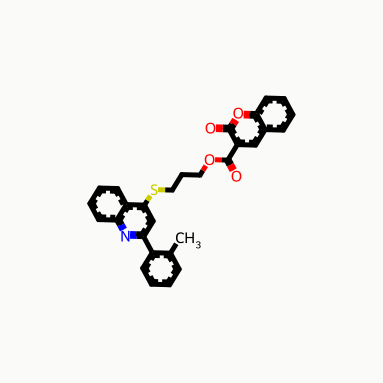 Cc1ccccc1-c1cc(SCCCOC(=O)c2cc3ccccc3oc2=O)c2ccccc2n1